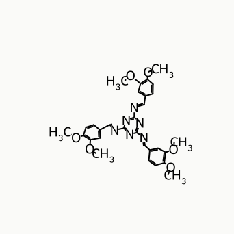 COc1ccc(C=Nc2nc(N=Cc3ccc(OC)c(OC)c3)nc(N=Cc3ccc(OC)c(OC)c3)n2)cc1OC